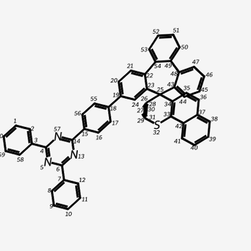 c1ccc(-c2nc(-c3ccccc3)nc(-c3ccc(-c4ccc5c(c4)C4(c6ccccc6Sc6c4ccc4ccccc64)c4ccccc4-c4ccccc4-5)cc3)n2)cc1